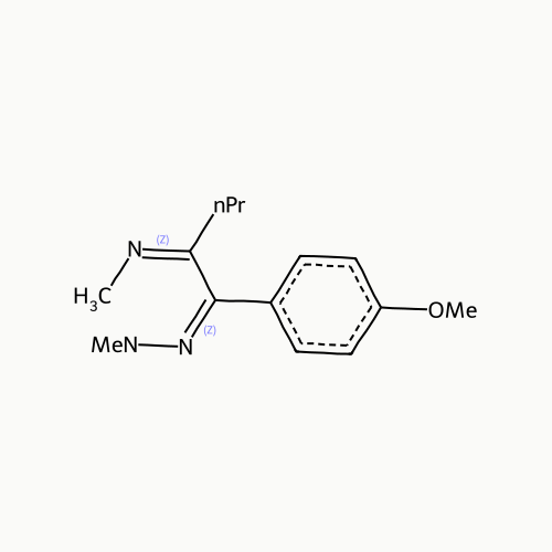 CCCC(=N/C)/C(=N\NC)c1ccc(OC)cc1